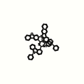 c1ccc(-c2cccc(C3NC(c4cc5c(cc4-n4c6cc7ccccc7cc6c6cc7ccccc7cc64)oc4ccccc45)=NC(c4cccc5c4c4ccccc4n5-c4ccccc4)N3)c2)cc1